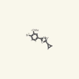 COc1cc(-c2nnc(C3CC3)o2)ccc1Br